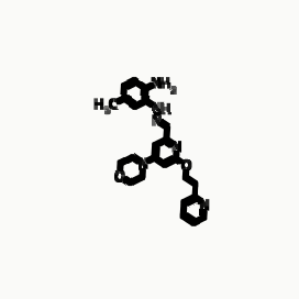 Cc1ccc(N)c(NN=Cc2cc(N3CCOCC3)cc(OCCc3ccccn3)n2)c1